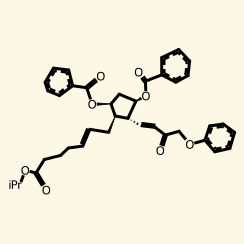 CC(C)OC(=O)CCCC=CC[C@@H]1[C@@H](C=CC(=O)COc2ccccc2)[C@H](OC(=O)c2ccccc2)C[C@@H]1OC(=O)c1ccccc1